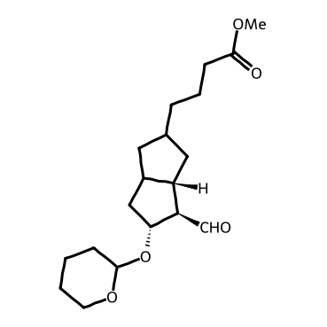 COC(=O)CCCC1CC2C[C@@H](OC3CCCCO3)[C@H](C=O)[C@H]2C1